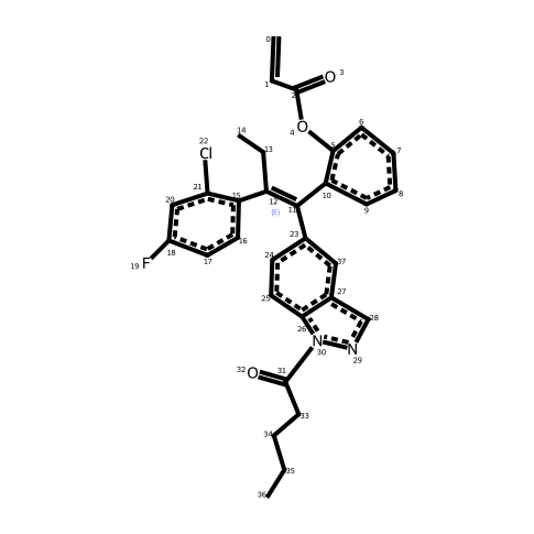 C=CC(=O)Oc1ccccc1/C(=C(\CC)c1ccc(F)cc1Cl)c1ccc2c(cnn2C(=O)CCCC)c1